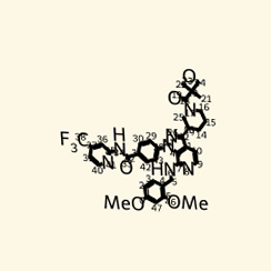 COc1ccc(CNc2nccc3c([C@@H]4CCCN(C(=O)C5(C)COC5)C4)nn(-c4ccc(C(=O)Nc5cc(C(F)(F)F)ccn5)cc4)c23)c(OC)c1